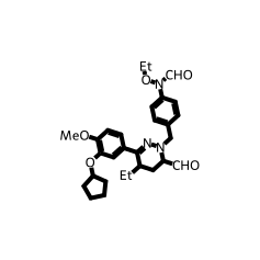 CCON(C=O)c1ccc(CN2N=C(c3ccc(OC)c(OC4CCCC4)c3)C(CC)CC2C=O)cc1